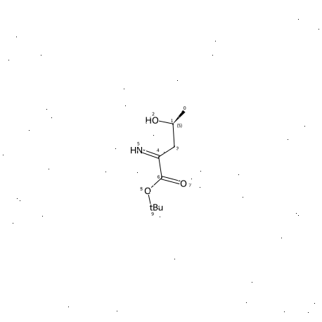 C[C@H](O)CC(=N)C(=O)OC(C)(C)C